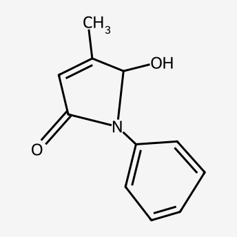 CC1=CC(=O)N(c2ccccc2)C1O